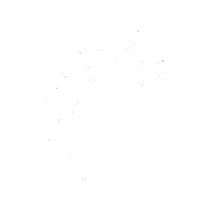 CC(OC(=O)C1=COC1)OC(=O)N(C)C(C)Cc1ccc2c(c1)OCO2